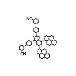 N#Cc1cccc(-c2ccc(-c3nc(-c4ccc(-c5cccc(C#N)c5)cc4)c4cc(-c5ccc6ccc7cccc8ccc5c6c78)cc(-c5ccc6ccc7cccc8ccc5c6c78)c4n3)cc2)c1